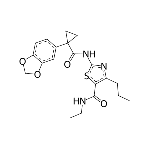 CCCc1nc(NC(=O)C2(c3ccc4c(c3)OCO4)CC2)sc1C(=O)NCC